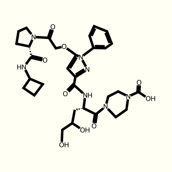 O=C(N[C@@H](CC(O)CO)C(=O)N1CCN(C(=O)O)CC1)c1cc(OCC(=O)N2CCC[C@H]2C(=O)NC2CCC2)n(-c2ccccc2)n1